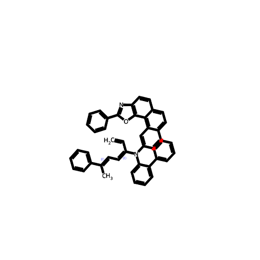 C=C/C(=C\C=C(/C)c1ccccc1)N(c1ccc2ccc3ccc4nc(-c5ccccc5)oc4c3c2c1)c1ccccc1-c1ccccc1